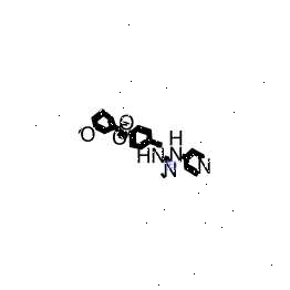 C/N=C(\NCc1ccc(S(=O)(=O)c2cccc(OC)c2)cc1)Nc1ccncc1